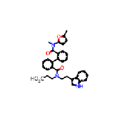 Cc1ccc(N(C)C(=O)c2ccccc2-c2ccccc2C(=O)N(CCC(=O)O)CCc2c[nH]c3ccccc23)o1